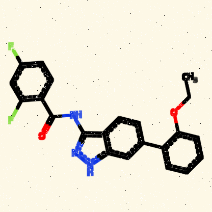 CCOc1ccccc1-c1ccc2c(NC(=O)c3ccc(F)cc3F)n[nH]c2c1